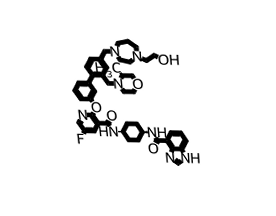 C[C@H]1COCCN1Cc1cc(CN2CCCN(CCO)CC2)ccc1-c1cccc(Oc2ncc(F)cc2C(=O)N[C@H]2CC[C@H](NC(=O)c3cccc4[nH]cnc34)CC2)c1